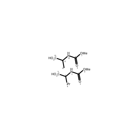 COC(=O)NC(C(=O)O)C(C)C.COC(=O)NC(C)C(=O)O